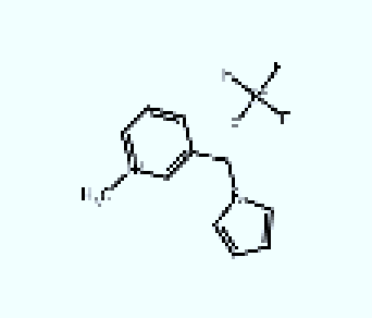 C[n+]1cccc(Cn2cccc2)c1.F[B-](F)(F)F